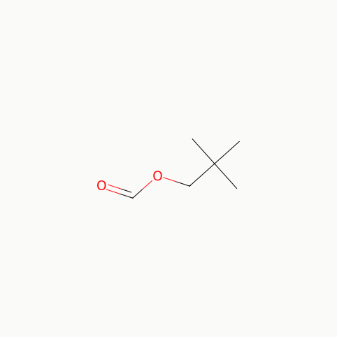 CC(C)(C)COC=O